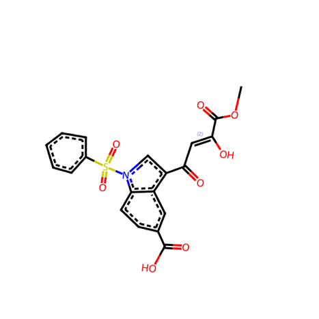 COC(=O)/C(O)=C/C(=O)c1cn(S(=O)(=O)c2ccccc2)c2ccc(C(=O)O)cc12